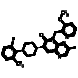 Cc1cnc2cc([C@H]3CC[C@H](c4c(F)cccc4C(F)(F)F)CC3)c(=O)n(Cc3ncccc3OC(F)(F)F)c2n1